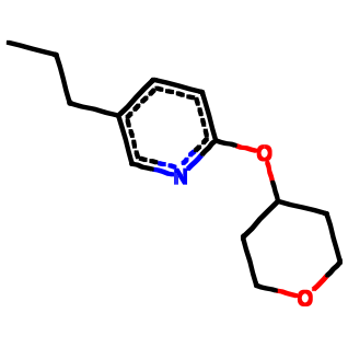 CCCc1ccc(OC2CCOCC2)nc1